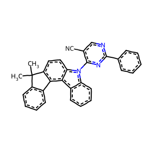 CC1(C)c2ccccc2-c2c1ccc1c2c2ccccc2n1-c1nc(-c2ccccc2)ncc1C#N